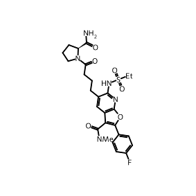 CCS(=O)(=O)Nc1nc2oc(-c3ccc(F)cc3)c(C(=O)NC)c2cc1CCCC(=O)N1CCC[C@H]1C(N)=O